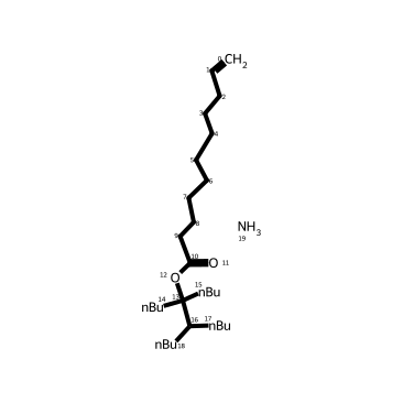 C=CCCCCCCCCC(=O)OC(CCCC)(CCCC)C(CCCC)CCCC.N